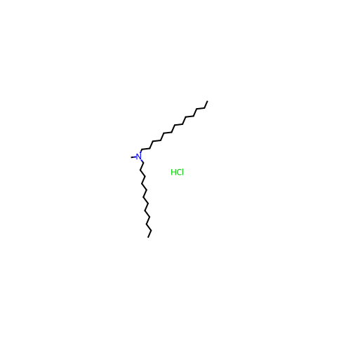 CCCCCCCCCCCCCN(C)CCCCCCCCCCCC.Cl